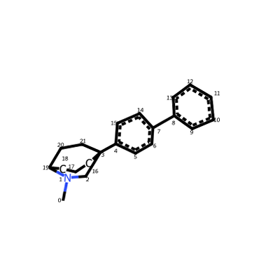 CN1CC2(c3ccc(-c4ccccc4)cc3)CCCC1CC2